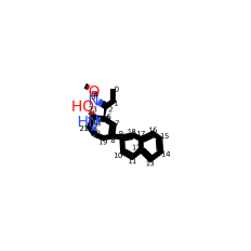 CCC(=NOC)[C@]12C=C(c3ccc4ccccc4c3)CC(CC1O)N2